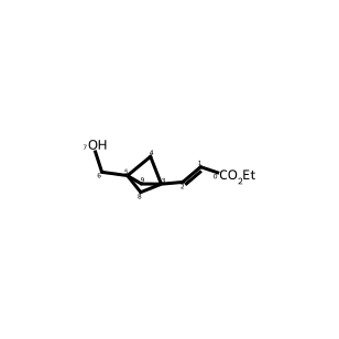 CCOC(=O)/C=C/C12CC(CO)(C1)C2